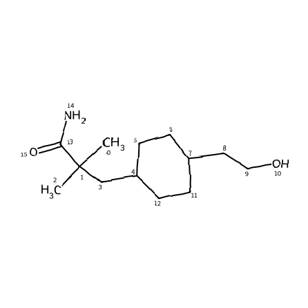 CC(C)(CC1CCC(CCO)CC1)C(N)=O